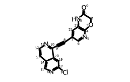 O=C1COc2ncc(C#Cc3nccc4cnc(Cl)cc34)cc2N1